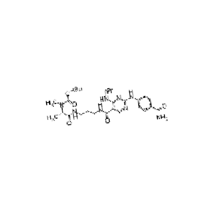 CCCNc1nc(Nc2ccc(C(N)=O)cc2)ncc1C(=O)NCCCNC(=O)[C@H](C)N(C)C(=O)OC(C)(C)C